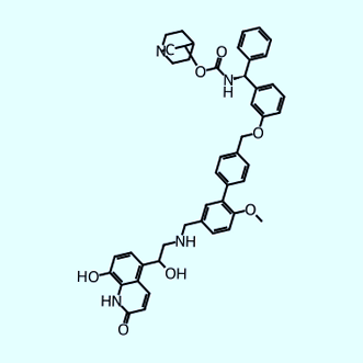 COc1ccc(CNCC(O)c2ccc(O)c3[nH]c(=O)ccc23)cc1-c1ccc(COc2cccc([C@@H](NC(=O)OC3CN4CCC3CC4)c3ccccc3)c2)cc1